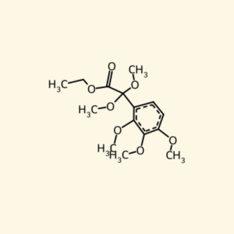 CCOC(=O)C(OC)(OC)c1ccc(OC)c(OC)c1OC